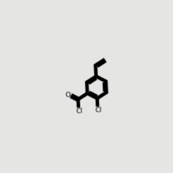 C=Cc1ccc(Cl)c(C(=O)Cl)c1